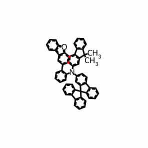 CC1(C)c2ccccc2-c2ccc(N(c3ccc4c(c3)C3(c5ccccc5-c5ccccc53)c3ccccc3-4)c3ccccc3-c3ccc4oc5ccccc5c4c3)cc21